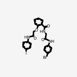 O=C(CNC(=O)c1ccccc1OCC(=O)Nc1ccc(I)cc1)Nc1ccc(Br)cc1